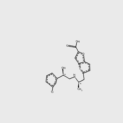 C[C@H](Cc1ccc2oc(C(=O)O)cc2c1)NC[C@H](O)c1cccc(Cl)c1